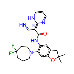 CC1(C)Cc2cc(NC(=O)/C(C=N)=C3\N=CC=CN3)c(N3CCCC(F)(F)CC3)cc2O1